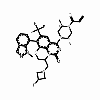 C=CC(=O)N1C[C@H](C)N(c2nc(=O)n3c4c(c(-c5cccc6cnn(C)c56)c(C(F)(F)F)cc24)SCC3CN2CC(F)C2)C[C@H]1C